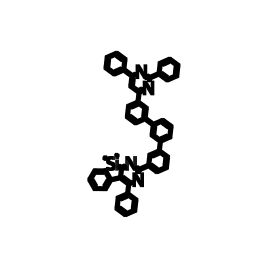 C[Si]1(C)c2ccccc2-c2c(-c3ccccc3)nc(-c3cccc(-c4cccc(-c5cccc(-c6cc(-c7ccccc7)nc(-c7ccccc7)n6)c5)c4)c3)nc21